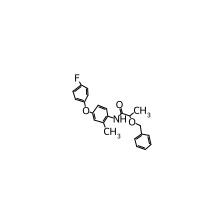 Cc1cc(Oc2ccc(F)cc2)ccc1NC(=O)C(C)OCc1ccccc1